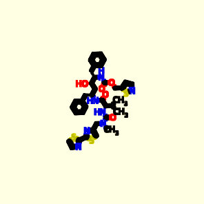 CC(C)[C@H](NC(=O)N(C)Cc1csc(-c2nccs2)n1)C(=O)N[C@@H](Cc1ccccc1)C[C@H](O)[C@H](Cc1ccccc1)NC(=O)OCc1ccns1